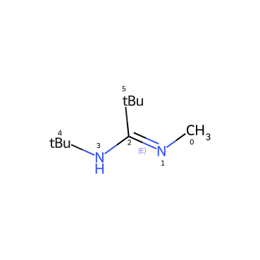 C/N=C(/NC(C)(C)C)C(C)(C)C